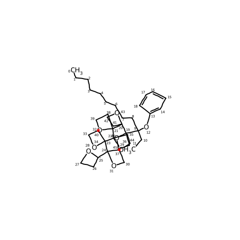 CCCCCCCCCC(CC)(Oc1ccccc1)C1(C2(C3(C4(C5(C6([C]7CCO7)CCO6)CCO5)CCO4)CCO3)CCO2)CCO1